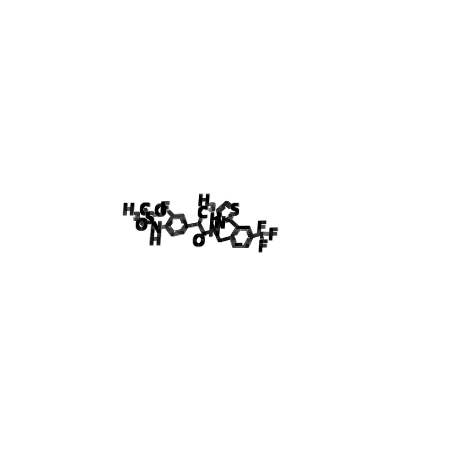 CC(C(=O)NCc1ccc(C(F)(F)F)cc1-c1nccs1)c1ccc(NS(C)(=O)=O)c(F)c1